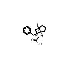 O=C(O)C[C@]1(Cc2ccccc2)C[C@@H]2CCC[C@@H]21